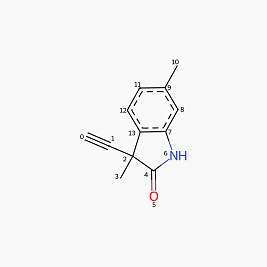 C#CC1(C)C(=O)Nc2cc(C)ccc21